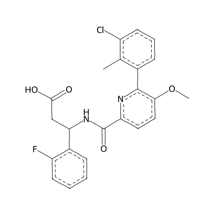 COc1ccc(C(=O)NC(CC(=O)O)c2ccccc2F)nc1-c1cccc(Cl)c1C